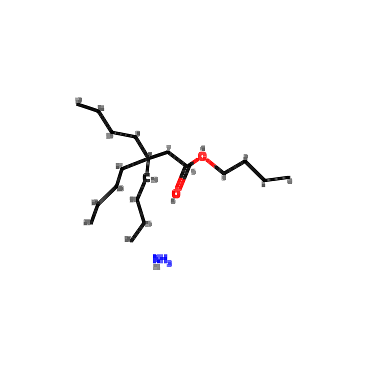 CCCCOC(=O)CC(CCCC)(CCCC)CCCC.N